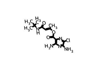 CC(=CC(=O)NC(C)(C)C)OC(=O)c1nc(Cl)c(N)nc1N